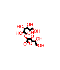 O=C1OC(C(O)CO)C(O)=C1O[C@@H]1OC(CO)[C@@H](O)[C@H](O)C1O